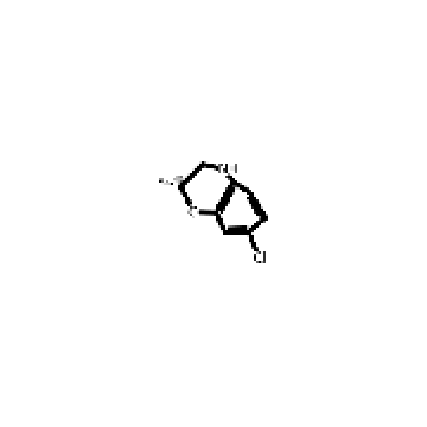 C[C@@H]1CNc2ccc(Cl)cc2O1